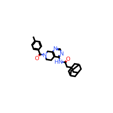 Cc1ccc(C(=O)N2CCc3c(ncnc3NC(=O)CC34CC5CC(CC(C5)C3)C4)C2)cc1